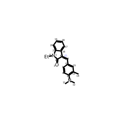 CCN1C(=O)/C(=C\c2ccc(N(C)C)c(C)c2)c2ccccc21